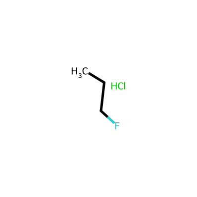 CCCF.Cl